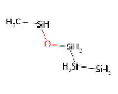 C[SiH]O[SiH2][SiH2][SiH3]